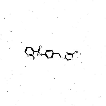 NC1=N[C@@H](CCc2ccc(NC(=O)c3cccnc3F)cc2)CO1